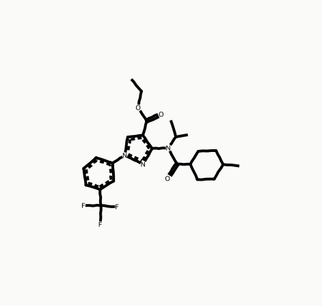 CCOC(=O)c1cn(-c2cccc(C(F)(F)F)c2)nc1N(C(=O)C1CCC(C)CC1)C(C)C